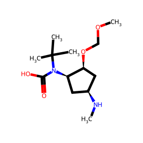 CN[C@@H]1C[C@H](OCOC)[C@H](N(C(=O)O)C(C)(C)C)C1